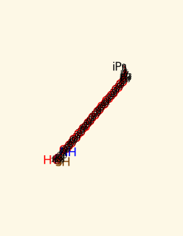 CC(C)CCCCC1CCC2C1(C)CCC1C3(C)CCC(OCCOCCOCCOCCOCCOCCOCCOCCOCCOCCOCCOCCOCCOCCOCCOCCOCCOCCOCCOCCOCCOCCOCCOCCOCCC(=O)NCCCCCCOP(O)SS)CC3=CCC12C